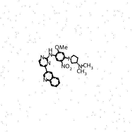 COc1cc(N2CC[C@@H](N(C)C)C2)c([N+](=O)[O-])cc1Nc1nccc(-c2cnc3ccccc3c2)n1